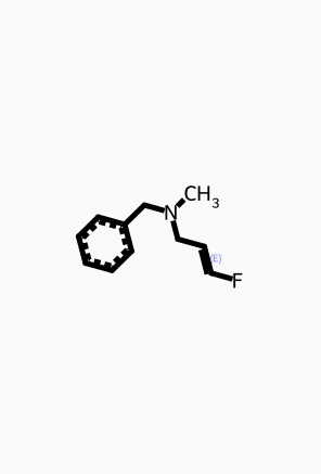 CN(C/C=C/F)Cc1ccccc1